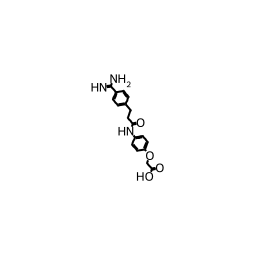 N=C(N)c1ccc(CCC(=O)Nc2ccc(OCC(=O)O)cc2)cc1